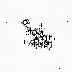 Cc1nc(C)c(C(OC(C)(C)C)C(=O)O)c(N2CCC(C)(C)CC2)c1C1=CCN(C(=O)OCc2ccccc2)CC1